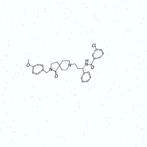 COc1ccc(CN2CCC3(CCN(CCC(NC(=O)c4cccc(Cl)c4)c4ccccc4)CC3)C2=O)cc1